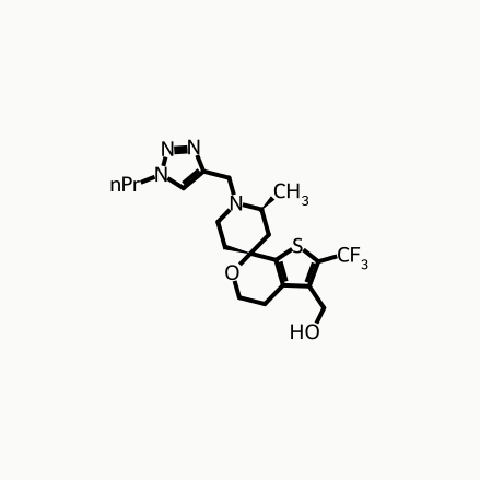 CCCn1cc(CN2CC[C@]3(C[C@@H]2C)OCCc2c3sc(C(F)(F)F)c2CO)nn1